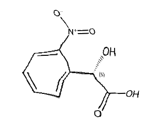 O=C(O)[C@@H](O)c1ccccc1[N+](=O)[O-]